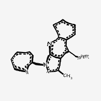 CCCCCc1c2ccccc2nc2c1c(C)nn2-c1ccccn1